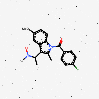 COc1ccc2c(c1)c(C(C)N(O)C(C)=O)c(C)n2C(=O)c1ccc(Cl)cc1